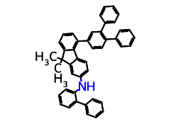 CC1(C)c2cc(Nc3ccccc3-c3ccccc3)ccc2-c2c(-c3ccc(-c4ccccc4)c(-c4ccccc4)c3)cccc21